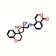 CC1(CC(O)(C=Nc2cccc3c(=O)occc23)C(F)(F)F)CCOc2ccccc21